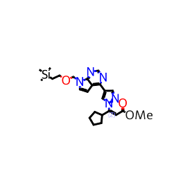 COC(=O)/C=C(/C1CCCC1)n1cc(-c2ncnc3c2ccn3COCC[Si](C)(C)C)cn1